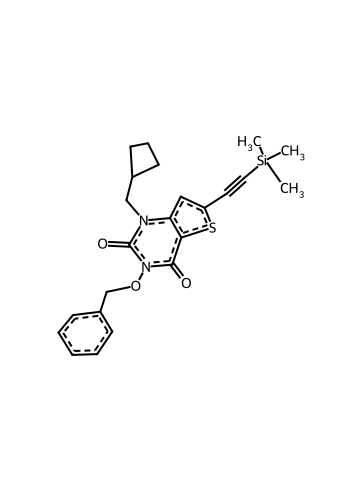 C[Si](C)(C)C#Cc1cc2c(s1)c(=O)n(OCc1ccccc1)c(=O)n2CC1CCC1